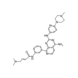 CN(C)CC=CC(=O)Nc1cccc(-c2nccc3c(N)nc(Nc4ccc(N5CCN(C)CC5)nc4)nc23)c1